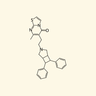 Cc1nc2sccn2c(=O)c1CCN1CC2C(C1)C(c1ccccc1)C2c1ccccc1